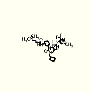 CN(C)C/C=C/C(=O)Nc1cccc(N2C(=O)N(Cc3ccccc3)Cc3cnc(Nc4cn(C)nc4C(F)F)nc32)c1